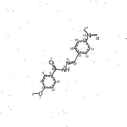 COc1ccc(C(=O)NN=Cc2ccc(N(C)C)cc2)cc1